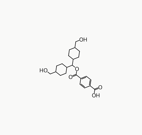 O=C(O)c1ccc(C(=O)OC(C2CCC(CO)CC2)C2CCC(CO)CC2)cc1